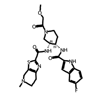 COCC(=O)N1CC[C@H](NC(=O)c2cc3cc(F)ccc3[nH]2)[C@H](NC(=O)c2nc3c(s2)CN(C)CC3)C1